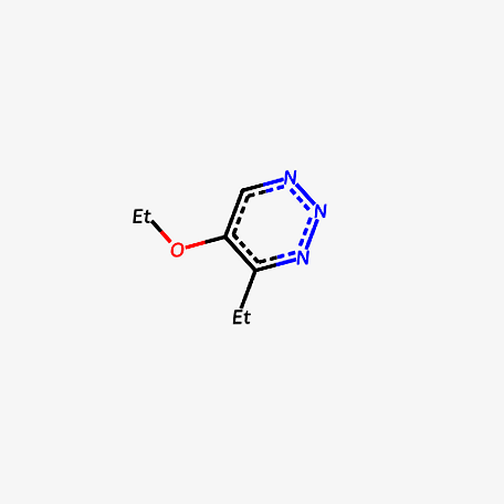 CCOc1cnnnc1CC